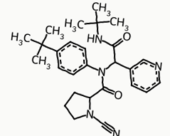 CC(C)(C)NC(=O)C(c1cccnc1)N(C(=O)C1CCCN1C#N)c1ccc(C(C)(C)C)cc1